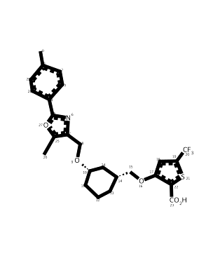 Cc1ccc(-c2nc(CO[C@H]3CCC[C@@H](COc4cc(C(F)(F)F)sc4C(=O)O)C3)c(C)o2)cc1